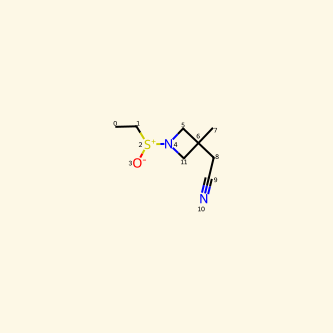 CC[S+]([O-])N1CC(C)(CC#N)C1